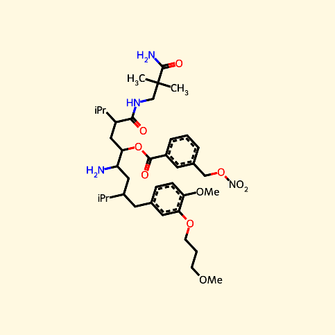 COCCCOc1cc(CC(CC(N)C(CC(C(=O)NCC(C)(C)C(N)=O)C(C)C)OC(=O)c2cccc(CO[N+](=O)[O-])c2)C(C)C)ccc1OC